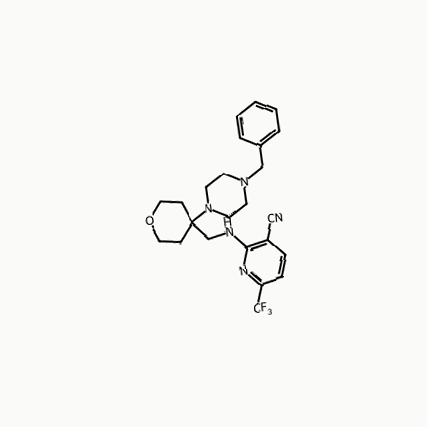 N#Cc1ccc(C(F)(F)F)nc1NCC1(N2CCN(Cc3ccccc3)CC2)CCOCC1